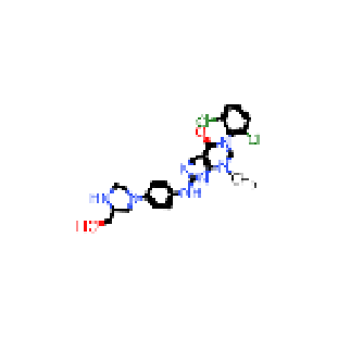 CN1CN(c2c(Cl)cccc2Cl)C(=O)c2cnc(Nc3ccc(N4CCNC(CO)C4)cc3)nc21